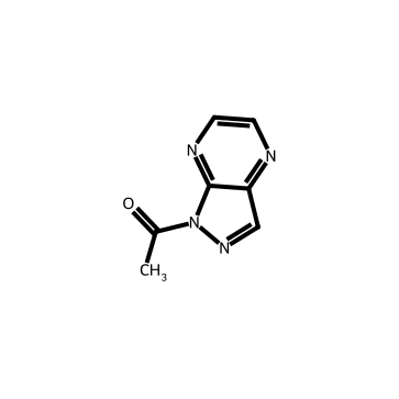 CC(=O)n1ncc2nccnc21